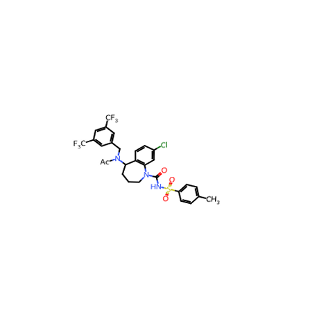 CC(=O)N(Cc1cc(C(F)(F)F)cc(C(F)(F)F)c1)C1CCCN(C(=O)NS(=O)(=O)c2ccc(C)cc2)c2cc(Cl)ccc21